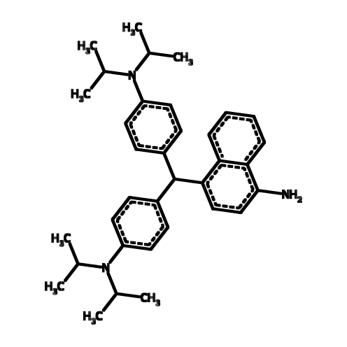 CC(C)N(c1ccc(C(c2ccc(N(C(C)C)C(C)C)cc2)c2ccc(N)c3ccccc23)cc1)C(C)C